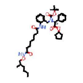 CCCCC(C)CONC(=O)CCCCCCC(=O)Nc1ccccc1CN(C(=O)OC(C)(C)C)[C@H](C(=O)OC1CCCC1)c1ccccc1